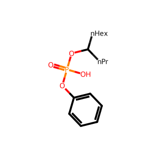 CCCCCCC(CCC)OP(=O)(O)Oc1ccccc1